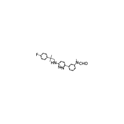 CN(C=O)c1cccc(-c2ccc(NCC(C)(C)c3ccc(F)cc3)nn2)c1